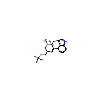 CC[Si](CC)(CC)OCC1C=C2c3cccc4[nH]cc(c34)C[C@H]2N(C)C1